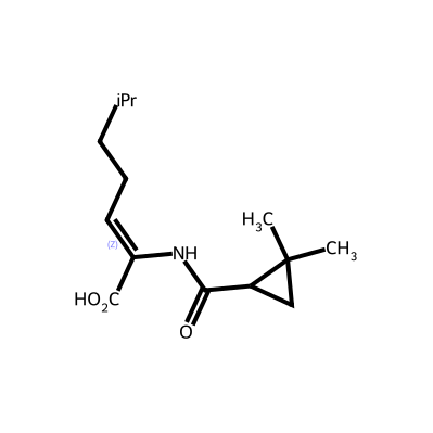 CC(C)CC/C=C(\NC(=O)C1CC1(C)C)C(=O)O